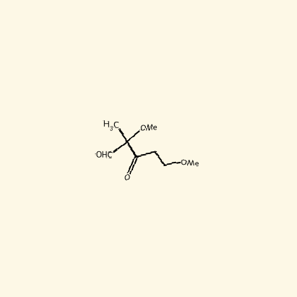 COCCC(=O)C(C)([C]=O)OC